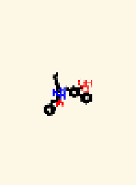 CCC#Cc1nc(C(=O)Cc2ccccc2)nn1Cc1ccc(-c2ccccc2)c(C(=O)O)c1